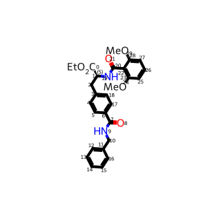 CCOC(=O)[C@H](Cc1ccc(C(=O)NCc2ccccc2)cc1)NC(=O)c1c(OC)cccc1OC